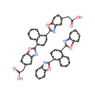 O=C(O)Cc1ccc2oc(-c3ccc(-c4nc5cc(CC(=O)O)ccc5o4)c4ccccc34)nc2c1.c1ccc2oc(-c3ccc(-c4nc5ccccc5o4)c4ccccc34)nc2c1